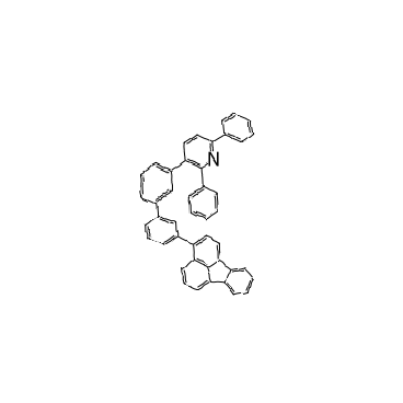 c1ccc(-c2ccc(-c3cccc(-c4cccc(-c5ccc6c7c(cccc57)-c5ccccc5-6)c4)c3)c(-c3ccccc3)n2)cc1